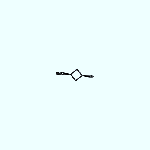 CO[C@H]1C[C@@H](C(C)C)C1